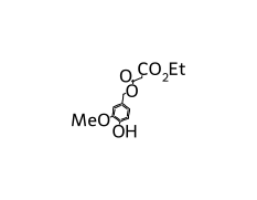 CCOC(=O)CC(=O)OCc1ccc(O)c(OC)c1